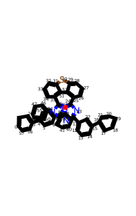 c1ccc(-c2ccc(-c3nc(-c4cccc(-c5ccccc5)c4)nc(-c4cccc5sc6cccc(-c7nc8ccccc8n7-c7ccccc7)c6c45)n3)cc2)cc1